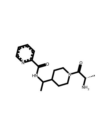 CC(NC(=O)c1ccccn1)C1CCN(C(=O)[C@H](C)N)CC1